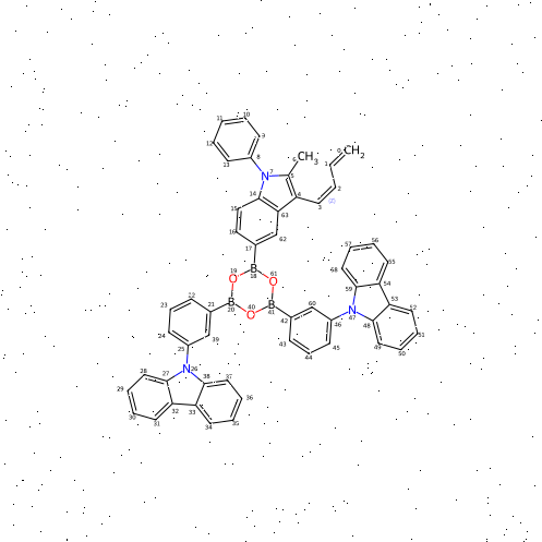 C=C/C=C\c1c(C)n(-c2ccccc2)c2ccc(B3OB(c4cccc(-n5c6ccccc6c6ccccc65)c4)OB(c4cccc(-n5c6ccccc6c6ccccc65)c4)O3)cc12